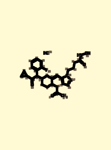 CC(=O)SC1CCN(C(C(=O)C2CC2)c2ccccc2F)CC1=Cc1cnnn1CCCC(=O)NO.Cl